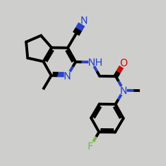 Cc1nc(NCC(=O)N(C)c2ccc(F)cc2)c(C#N)c2c1CCC2